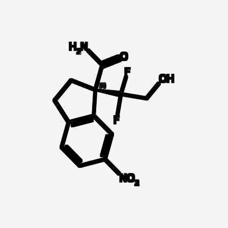 NC(=O)[C@@]1(C(F)(F)CO)CCc2ccc([N+](=O)[O-])cc21